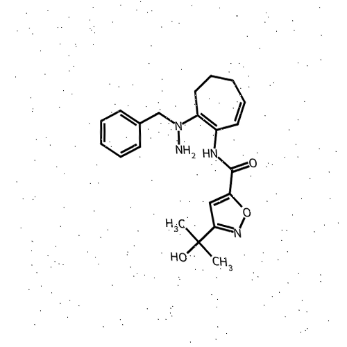 CC(C)(O)c1cc(C(=O)NC2=C(N(N)Cc3ccccc3)CCCC=C2)on1